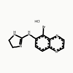 Brc1c(NC2=NCCN2)ccc2nccnc12.Cl